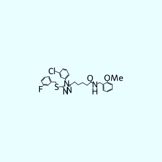 COc1ccccc1CNC(=O)CCCCc1nnc(SCc2cccc(F)c2)n1-c1cccc(Cl)c1